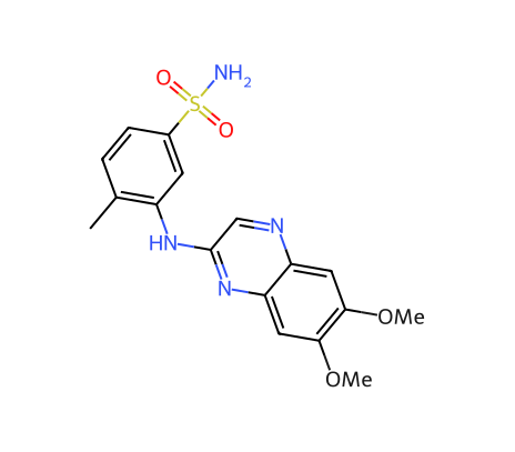 COc1cc2ncc(Nc3cc(S(N)(=O)=O)ccc3C)nc2cc1OC